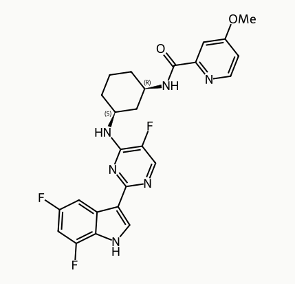 COc1ccnc(C(=O)N[C@@H]2CCC[C@H](Nc3nc(-c4c[nH]c5c(F)cc(F)cc45)ncc3F)C2)c1